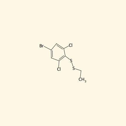 CCSSc1c(Cl)cc(Br)cc1Cl